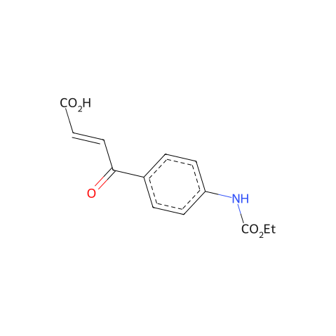 CCOC(=O)Nc1ccc(C(=O)C=CC(=O)O)cc1